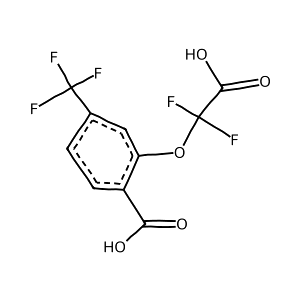 O=C(O)c1ccc(C(F)(F)F)cc1OC(F)(F)C(=O)O